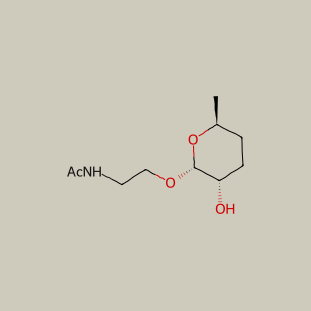 CC(=O)NCCO[C@@H]1O[C@@H](C)CC[C@@H]1O